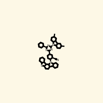 Cc1ccc2c(c1)c1cc(C)ccc1n2-c1nc(-c2ccccc2)nc(-c2ccc(-n3c4ccccc4c4ccc5sc6ccccc6c5c43)c(C#N)c2)n1